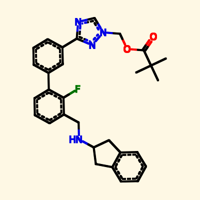 CC(C)(C)C(=O)OCn1cnc(-c2cccc(-c3cccc(CNC4Cc5ccccc5C4)c3F)c2)n1